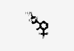 Cc1c(-c2coc(N)n2)cccc1C(F)(F)F